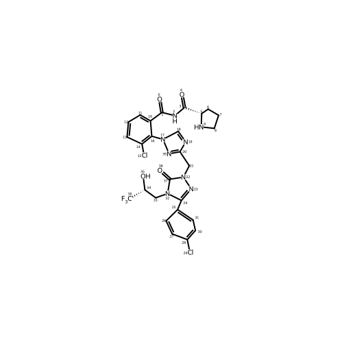 O=C(NC(=O)[C@@H]1CCCN1)c1cccc(Cl)c1-n1cnc(Cn2nc(-c3ccc(Cl)cc3)n(C[C@@H](O)C(F)(F)F)c2=O)n1